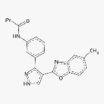 Cc1ccc2oc(-c3c[nH]nc3-c3cccc(NC(=O)C(C)C)c3)nc2c1